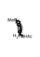 COc1ccc2cc(Oc3nc4ccc(C(C)CNC(C)=O)cc4s3)ccc2c1